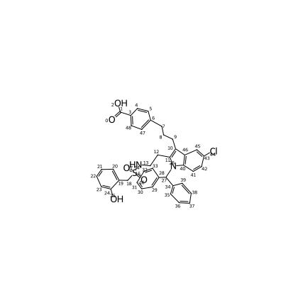 O=C(O)c1ccc(CCCc2c(CCNS(=O)(=O)Cc3ccccc3O)n(C(c3ccccc3)c3ccccc3)c3ccc(Cl)cc23)cc1